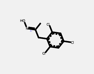 C/C(Cc1c(Cl)cc(Cl)cc1Cl)=N\O